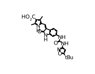 Cc1[nH]c(C=C2C(=O)Nc3cc(NC(=O)Nc4cc(C(C)(C)C)on4)ccc32)c(C)c1C(=O)O